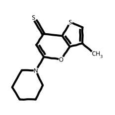 Cc1csc2c(=S)cc(N3CCCCC3)oc12